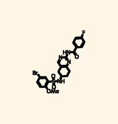 COc1ccc(Br)cc1S(=O)(=O)NC1CCc2nc(NC(=O)c3ccc(F)cc3)ncc2C1